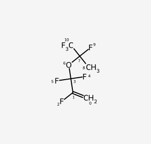 C=C(F)C(F)(F)OC(C)(F)C(F)(F)F